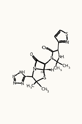 CC1(C)S[C@H]2C(N3C(=O)C(c4ccsn4)NC3(C)C)C(=O)N2C1c1nnn[nH]1